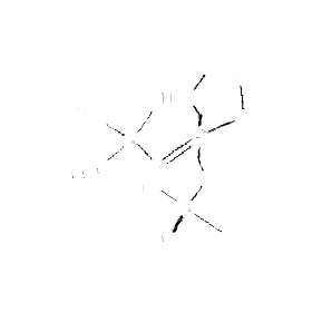 CCOP(=N[Si](C)(C)C)(OCC)O[Si](C)(C)C